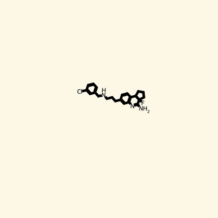 NC1=Nc2cc(CCCNCc3cccc(Cl)c3)ccc2C2CCCC12F